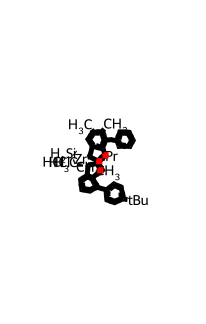 CC1=Cc2c(cc(C)c(C)c2-c2ccccc2)[CH]1[Zr]([CH3])([CH3])(=[SiH2])[CH]1C(C(C)C)=Cc2c(-c3ccc(C(C)(C)C)cc3)cccc21.Cl.Cl